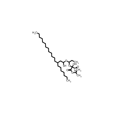 CCCCCCCCCCCCCC(CCCCCCC)CC(S)OC(CC)OC(O)([PH2]=O)C(=O)OC(C)C